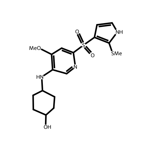 COc1cc(S(=O)(=O)c2cc[nH]c2SC)ncc1NC1CCC(O)CC1